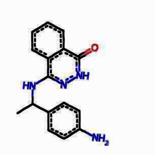 CC(Nc1n[nH]c(=O)c2ccccc12)c1ccc(N)cc1